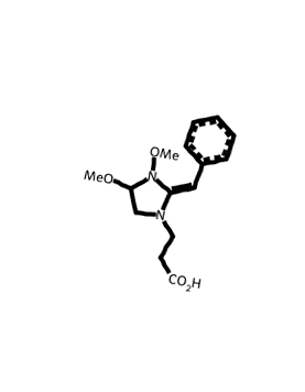 COC1CN(CCC(=O)O)C(=Cc2ccccc2)N1OC